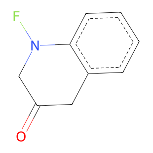 O=C1Cc2ccccc2N(F)C1